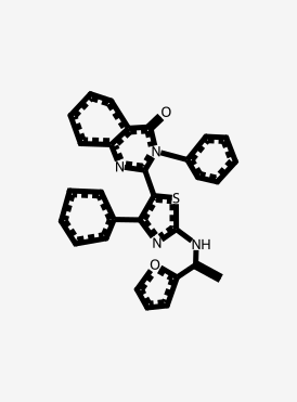 C=C(Nc1nc(-c2ccccc2)c(-c2nc3ccccc3c(=O)n2-c2ccccc2)s1)c1ccco1